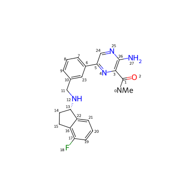 CNC(=O)c1nc(-c2cccc(CN[C@H]3CCc4c(F)cccc43)c2)cnc1N